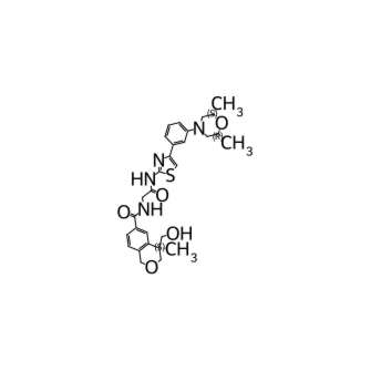 C[C@@H]1CN(c2cccc(-c3csc(NC(=O)CNC(=O)c4ccc5c(c4)[C@@](C)(CO)COC5)n3)c2)C[C@H](C)O1